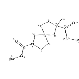 CC(C)(C)OC(=O)N1CCC2(CCC(C)(C(=O)OC(C)(C)C)C2)C1